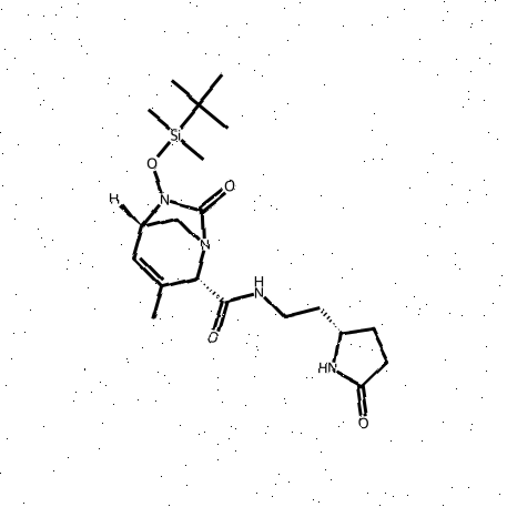 CC1=C[C@H]2CN(C(=O)N2O[Si](C)(C)C(C)(C)C)[C@@H]1C(=O)NCC[C@@H]1CCC(=O)N1